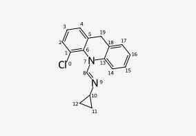 Clc1cccc2c1N(C=NC1CC1)c1ccccc1C2